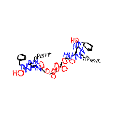 CCCCCc1nc(NC(=O)COCC(=O)OCOC(=O)COCC(=O)Nc2nc(CCCCC)nc3c2nc(O)n3Cc2ccccc2)c2nc(O)n(Cc3ccccc3)c2n1